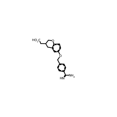 N=C(N)c1ccc(COc2ccc3c(c2)CC(CC(=O)O)CO3)cc1